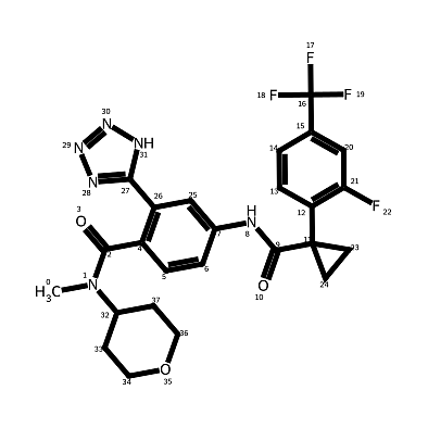 CN(C(=O)c1ccc(NC(=O)C2(c3ccc(C(F)(F)F)cc3F)CC2)cc1-c1nnn[nH]1)C1CCOCC1